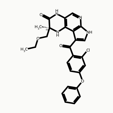 CCOC[C@]1(C)Nc2c(cnc3[nH]cc(C(=O)c4ccc(Oc5ccccc5)cc4Cl)c23)NC1=O